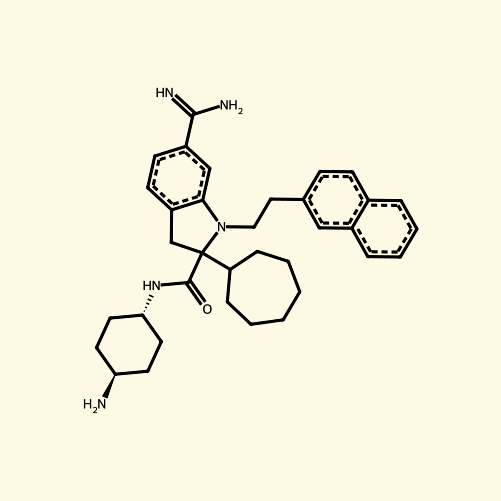 N=C(N)c1ccc2c(c1)N(CCc1ccc3ccccc3c1)C(C(=O)N[C@H]1CC[C@H](N)CC1)(C1CCCCCC1)C2